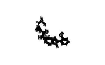 COc1ccccc1-c1cc2cc(NC(=O)[C@H]3C[C@@H]3CN(C)C)ncc2n1C